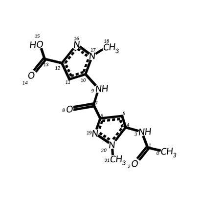 CC(=O)Nc1cc(C(=O)Nc2cc(C(=O)O)nn2C)nn1C